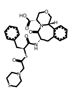 O=C(CN1CCSCC1)S[C@@H](Cc1ccccc1)C(=O)N[C@H]1Cc2ccccc2[C@H]2COC[C@@H](C(=O)O)N2C1=O